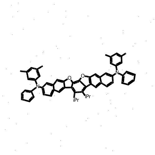 Cc1cc(C)cc(N(c2ccccc2)c2ccc3cc4c(cc3c2)oc2c3oc5cc6cc(N(c7ccccc7)c7cc(C)cc(C)c7)ccc6cc5c3c(C(C)C)c(C(C)C)c42)c1